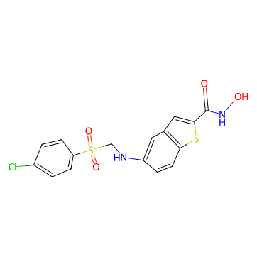 O=C(NO)c1cc2cc(NCS(=O)(=O)c3ccc(Cl)cc3)ccc2s1